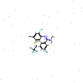 Cc1cc(F)c(/N=C(\c2cccc(F)c2)N(C)C)cc1SCC(F)(F)F